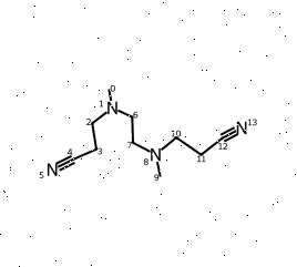 CN(CCC#N)CCN(C)CCC#N